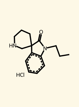 CCCN1C(=O)C2(CCCNC2)c2ccccc21.Cl